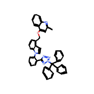 Cc1cc(OCc2cccc3c2ccn3-c2ccccc2-c2nnn(C(c3ccccc3)(c3ccccc3)c3ccccc3)n2)c2ccccc2n1